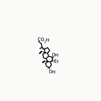 C=C[C@]12CC[C@@H](O)CC1[C@@H](CC)[C@@H](O)C1C2CC[C@]2(C=C)/C(=C(\C)CCC(=O)O)CCC12